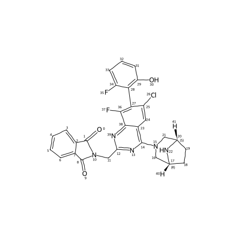 O=C1c2ccccc2C(=O)N1Cc1nc(N2C[C@H]3CC[C@@H](C2)N3)c2cc(Cl)c(-c3c(O)cccc3F)c(F)c2n1